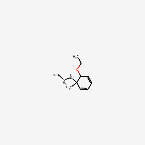 CCOC1C=CC=CC1(C)[SiH2][SiH2][SiH3]